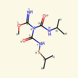 COC(=N)N(C(=O)NSC(C)C)C(=O)NC(C)C